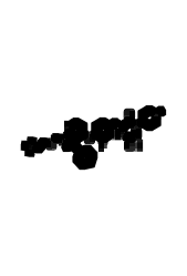 CN1CCC(NC(=O)[C@H](Cc2ccc(Oc3ccnc4c3c(-c3ccccc3)cn4COCC[Si](C)(C)C)c(F)c2)NC(=O)O)CC1